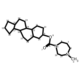 CN1CCCN(C(=O)OC2CCC3C(CCC4C5CCCC5CCC34)C2)CC1